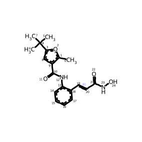 Cc1oc(C(C)(C)C)cc1C(=O)Nc1ccccc1/C=C/C(=O)NO